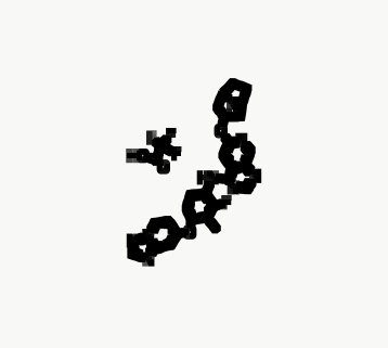 Cc1c(Oc2ccn3ncnc3c2)ccc(Nc2ncnc3cnc(OC4CC5CCC(C4)N5)cc23)c1F.O=C(O)C(F)(F)F